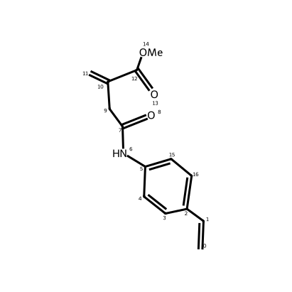 C=Cc1ccc(NC(=O)CC(=C)C(=O)OC)cc1